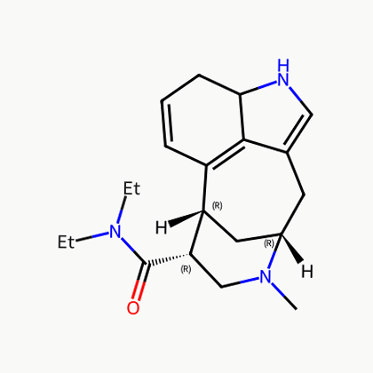 CCN(CC)C(=O)[C@H]1CN(C)[C@H]2CC3=CNC4CC=CC(=C34)[C@@H]1C2